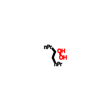 CCCCCCCC.OO